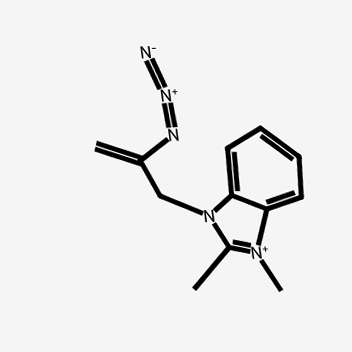 C=C(Cn1c(C)[n+](C)c2ccccc21)N=[N+]=[N-]